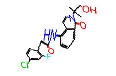 CC(C)(CO)n1ccc2c(NC(=O)Cc3ccc(Cl)cc3F)cccc2c1=O